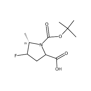 C[C@H]1C(F)CC(C(=O)O)N1C(=O)OC(C)(C)C